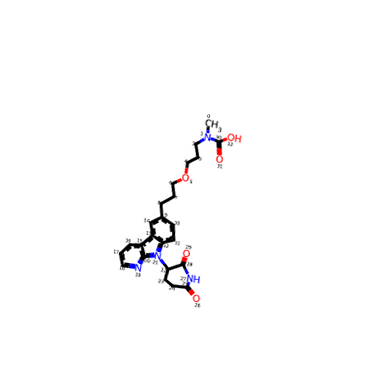 CN(CCCOCCCc1ccc2c(c1)c1cccnc1n2C1CCC(=O)NC1=O)C(=O)O